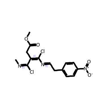 C\N=C(Cl)/C(CC(=O)OC)=C(Cl)\N=C\Cc1ccc([N+](=O)[O-])cc1